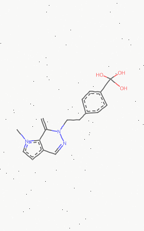 C=C1c2c(ccn2C)C=NN1CCc1ccc(C(O)(O)O)cc1